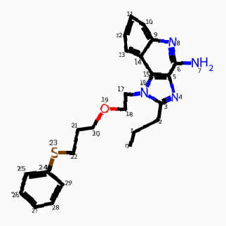 CCCc1nc2c(N)nc3ccccc3c2n1CCOCCCSc1ccccc1